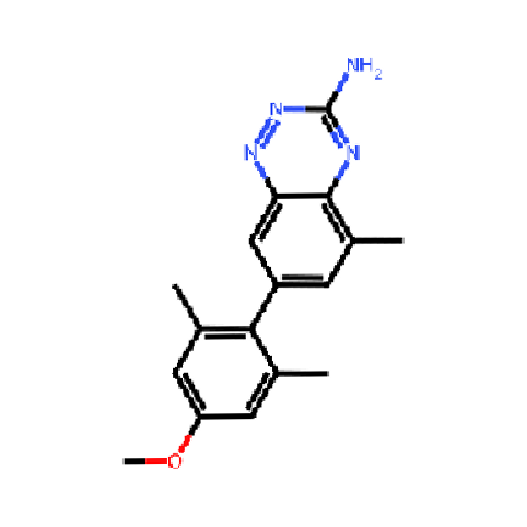 COc1cc(C)c(-c2cc(C)c3nc(N)nnc3c2)c(C)c1